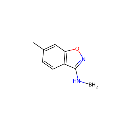 BNc1noc2cc(C)ccc12